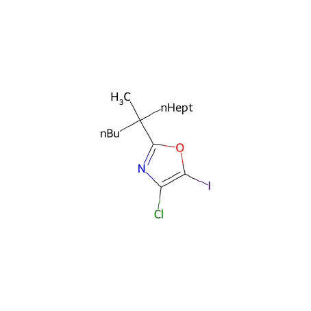 CCCCCCCC(C)(CCCC)c1nc(Cl)c(I)o1